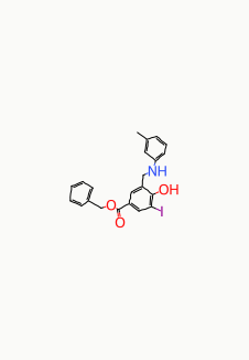 Cc1cccc(NCc2cc(C(=O)OCc3ccccc3)cc(I)c2O)c1